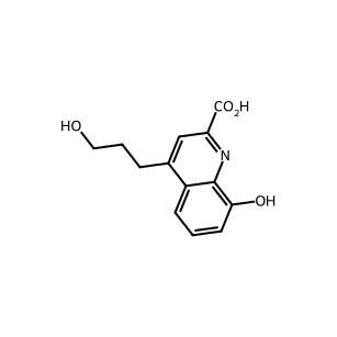 O=C(O)c1cc(CCCO)c2cccc(O)c2n1